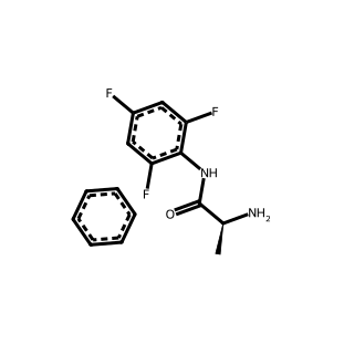 C[C@H](N)C(=O)Nc1c(F)cc(F)cc1F.c1ccccc1